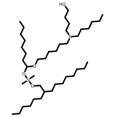 CCCCCCCCC(CCCCCC)CO[Si](C)(C)OC(CCCCCCC)OCCCCCCN(CCCCO)CCCCCC